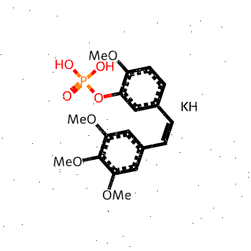 COc1ccc(/C=C\c2cc(OC)c(OC)c(OC)c2)cc1OP(=O)(O)O.[KH]